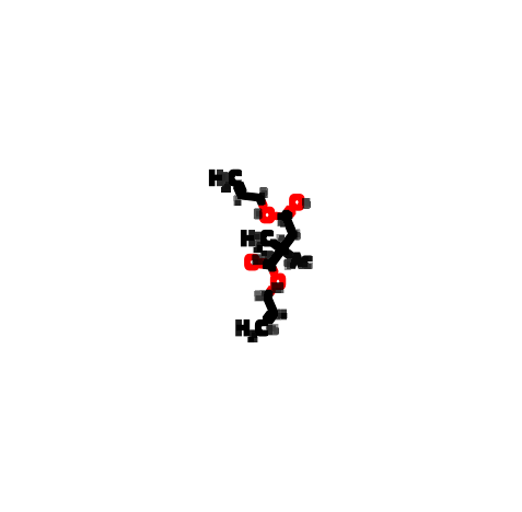 C=CCOC(=O)CC(C)(C(C)=O)C(=O)OCC=C